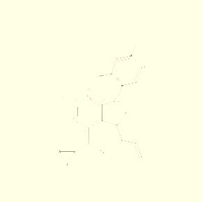 C=CCC1CN(c2ccc(Cl)cc2Cl)c2nc(C)nc(C(N)C3CC3)c21